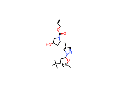 C=CCOC(=O)N1C[C@H](O)C[C@H]1Cc1cnn(C(CCC(C)(C)C)O[SiH](C)C)c1